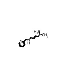 CN(C)CC=CCNCc1ccccn1